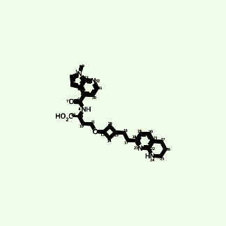 Cn1ccc2c(C(=O)N[C@@H](CCOC3CC(CCc4ccc5c(n4)NCCC5)C3)C(=O)O)ccnc21